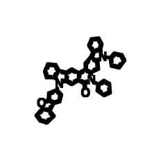 O=c1c2cc3c(cc2c2cc4c5ccccc5n(-c5ccccc5)c4cc2n1-c1ccccc1)c1ccccc1n3-c1ccc2c(c1)oc1ccccc12